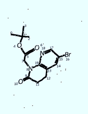 CC(C)(C)OC(=O)CN1C(=O)CCc2cc(Br)cnc21